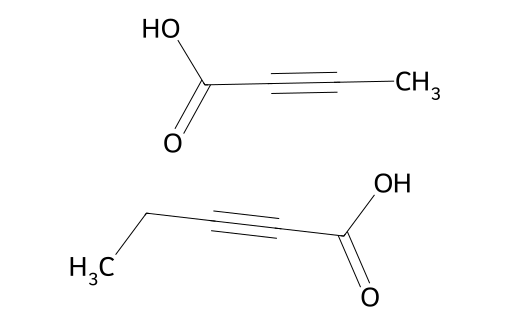 CC#CC(=O)O.CCC#CC(=O)O